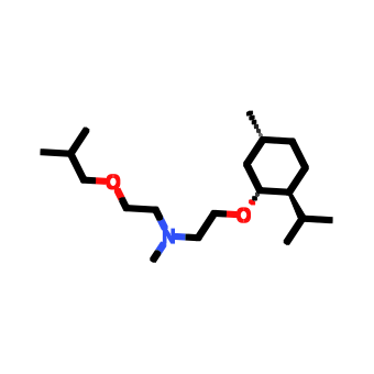 CC(C)COCCN(C)CCO[C@@H]1C[C@H](C)CC[C@H]1C(C)C